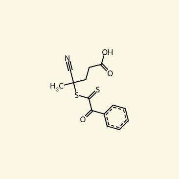 CC(C#N)(CCC(=O)O)SC(=S)C(=O)c1ccccc1